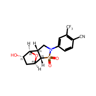 N#Cc1ccc(N2C[C@H]3[C@H]4O[C@H](C[C@@H]4O)[C@H]3S2(=O)=O)cc1C(F)(F)F